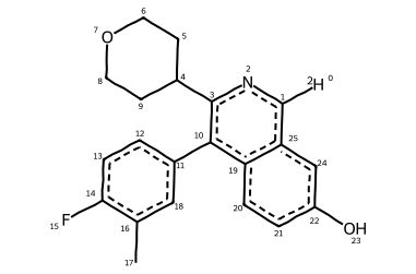 [2H]c1nc(C2CCOCC2)c(-c2ccc(F)c(C)c2)c2ccc(O)cc12